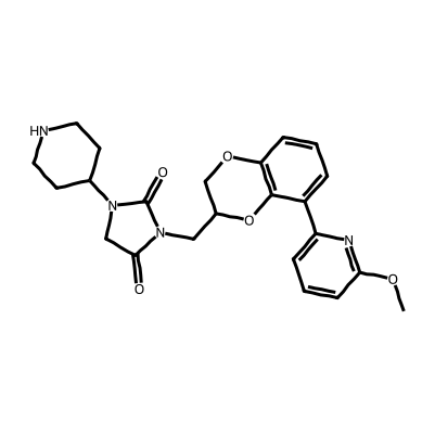 COc1cccc(-c2cccc3c2OC(CN2C(=O)CN(C4CCNCC4)C2=O)CO3)n1